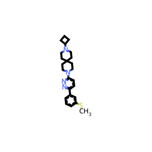 CSc1cccc(-c2ccc(N3CCC4(CC3)CCN(C3CCC3)CC4)nn2)c1